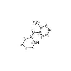 FC(F)(F)c1ccccc1OC1[CH]CCCN1